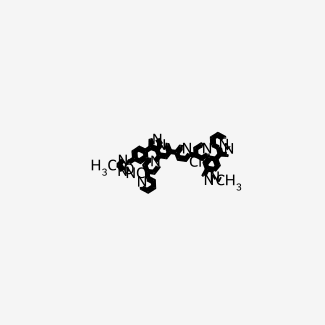 Cc1noc(-c2ccc(-c3cnn4cc(-c5ccc(C6(C#N)CCN(c7cccn8ncc(-c9ccc%10cnn(C)c%10c9)c78)CC6)nc5)cc(N5CCC(C#N)(c6ccccn6)CC5)c34)cc2)n1